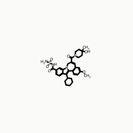 COc1ccc2c(c1)C=C(C(=O)N1CCC(C)(O)CC1)Cn1c-2c(C2CCCCC2)c2ccc(C(=O)NS(N)(=O)=O)cc21